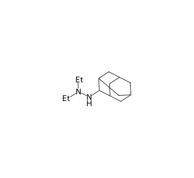 CCN(CC)NC1C2CC3CC(C2)CC1C3